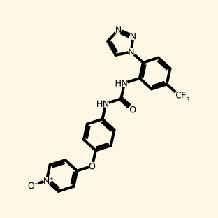 O=C(Nc1ccc(Oc2cc[n+]([O-])cc2)cc1)Nc1cc(C(F)(F)F)ccc1-n1ccnn1